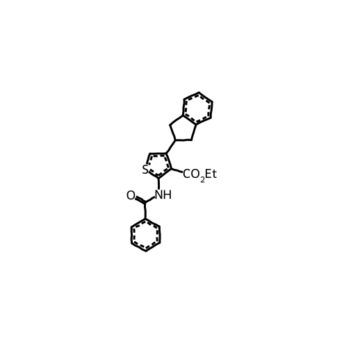 CCOC(=O)c1c(C2Cc3ccccc3C2)csc1NC(=O)c1ccccc1